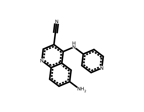 N#Cc1cnc2ccc(N)cc2c1Nc1ccncc1